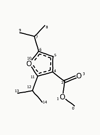 COC(=O)c1cc(C(C)C)oc1C(C)C